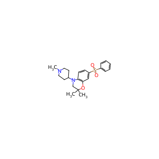 CN1CCC(N2CC(C)(C)Oc3cc(S(=O)(=O)c4ccccc4)ccc32)CC1